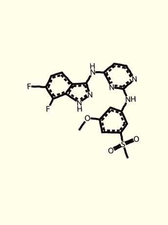 COc1cc(Nc2nccc(Nc3n[nH]c4c(F)c(F)ccc34)n2)cc(S(C)(=O)=O)c1